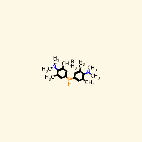 B.Cc1cc(Pc2cc(C)c(N(C)C)c(C)c2)cc(C)c1N(C)C